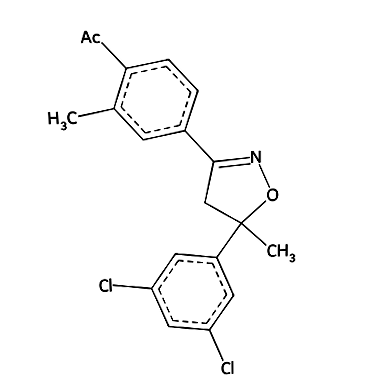 CC(=O)c1ccc(C2=NOC(C)(c3cc(Cl)cc(Cl)c3)C2)cc1C